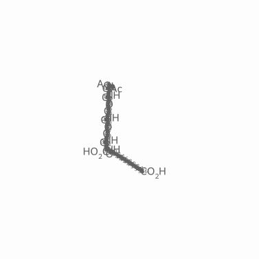 CC(=O)CN(CC(C)=O)C(=O)CCNC(=O)CCOCCOCCNC(=O)CCOCCOCCNC(=O)CCC(NC(=O)CCCCCCCCCCCCCCCCC(=O)O)C(=O)O